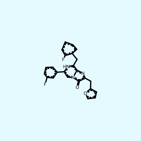 O=c1c(Cc2ccco2)nc2c(Cc3ccccc3F)[nH]c(-c3cccc(F)c3)cn1-2